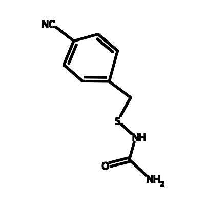 N#Cc1ccc(CSNC(N)=O)cc1